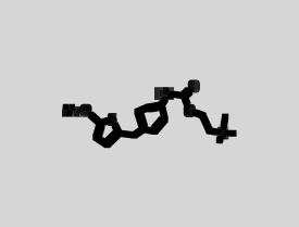 COc1ccc(Cc2ccc(NC(=O)OCC[Si](C)(C)C)cc2)s1